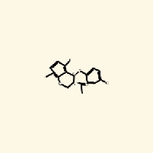 CC(=O)[C@@H]1COc2c(F)ccc(F)c2[C@H]1Sc1ccc(Cl)cc1